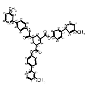 Cc1ccnc(-c2ccc(OC(=O)C3CC(C(=O)Oc4ccc(-c5cc(C)ccn5)cc4)CC(C(=O)Oc4ccc(-c5cc(C)ccn5)cc4)C3)cc2)c1